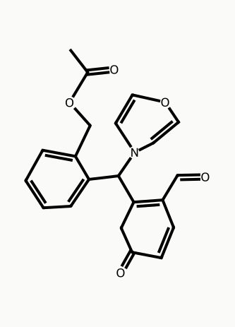 CC(=O)OCc1ccccc1C(C1=C(C=O)C=CC(=O)C1)N1C=COC=C1